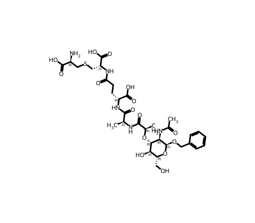 CC(=O)N[C@H]1[C@@H](OCc2ccccc2)O[C@H](CO)[C@@H](O)[C@@H]1O[C@H](C)C(=O)N[C@@H](C)C(=O)N[C@H](CCC(=O)N[C@H](CSC[C@H](N)C(=O)O)C(=O)O)C(=O)O